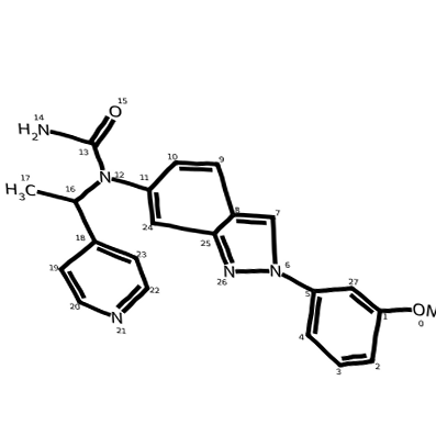 COc1cccc(-n2cc3ccc(N(C(N)=O)C(C)c4ccncc4)cc3n2)c1